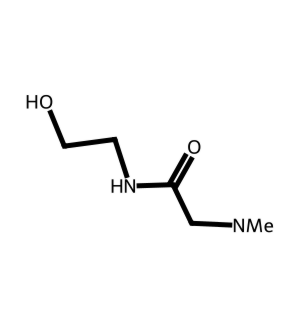 CNCC(=O)NCCO